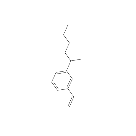 C=Cc1cccc(C(C)CCCC)c1